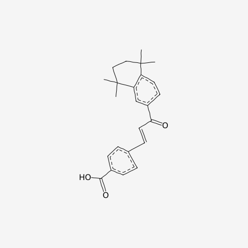 CC1(C)CCC(C)(C)c2cc(C(=O)C=Cc3ccc(C(=O)O)cc3)ccc21